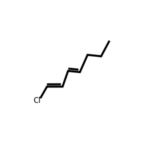 CCCC=CC=CCl